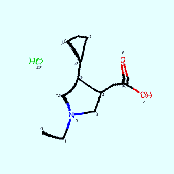 CCN1CC(C(=O)O)C(C2CC2)C1.Cl